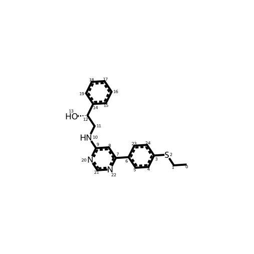 CCSc1ccc(-c2cc(NC[C@H](O)c3ccccc3)ncn2)cc1